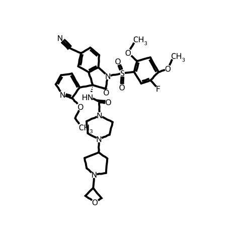 CCOc1ncccc1[C@]1(NC(=O)N2CCN(C3CCN(C4COC4)CC3)CC2)C(=O)N(S(=O)(=O)c2cc(F)c(OC)cc2OC)c2ccc(C#N)cc21